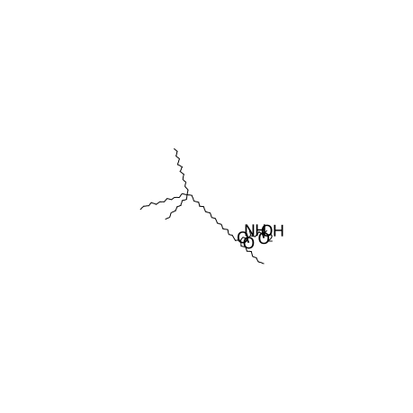 CCCCCCCCCCCCC(CCCCCCCC)(CCCCCCCCCCCC)CCCCCCCCCCCCCCCCC(CCCCCCCC)OC(=O)C(N)CCC(=O)O